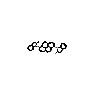 CC1Cc2ccccc2N1c1ccc2ccc3c(N4c5ccccc5C[C@H]4C)ccc4ccc1c2c43